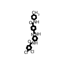 CC1CCC(NC(=O)c2ccc(-c3nc4cc(NC(=O)c5ccc(Cl)c(Cl)c5)ccc4[nH]3)cc2)CC1